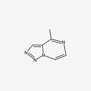 Cc1nccn2nncc12